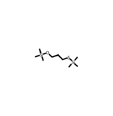 C[Si](C)(C)OC[CH]CS[Si](C)(C)C